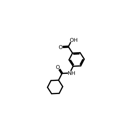 O=C(O)c1cccc(NC(=O)C2CCCCC2)c1